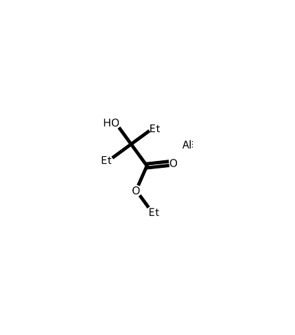 CCOC(=O)C(O)(CC)CC.[Al]